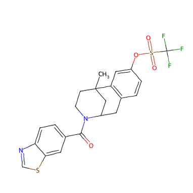 CC12CCN(C(=O)c3ccc4ncsc4c3)C(Cc3ccc(OS(=O)(=O)C(F)(F)F)cc31)C2